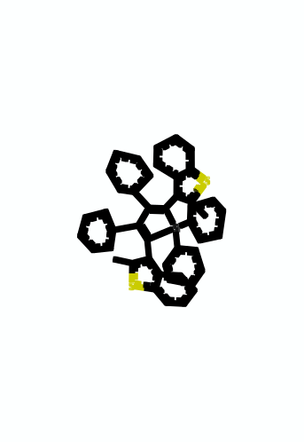 Cc1sc2ccccc2c1C1=C(c2ccccc2)C(c2ccccc2)=C(c2c(C)sc3ccccc23)[Si]1(c1ccccc1)c1ccccc1